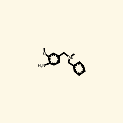 COc1cc(C[As](C)Cc2ccccc2)ccc1N